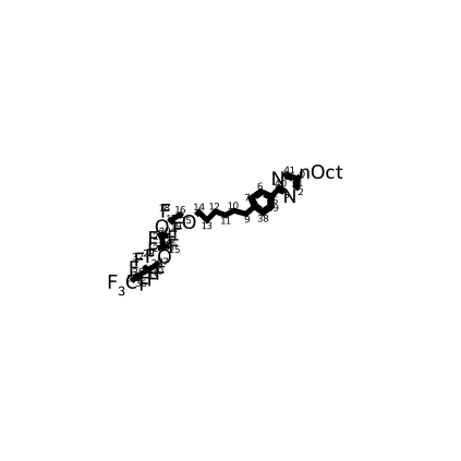 CCCCCCCCc1cnc(-c2ccc(CCCCCCOCC(F)(F)OC(F)(F)C(F)(F)OC(F)(F)C(F)(F)C(F)(F)C(F)(F)F)cc2)nc1